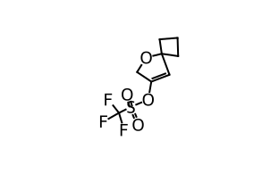 O=S(=O)(OC1=CC2(CCC2)OC1)C(F)(F)F